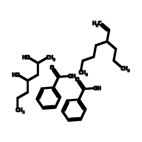 C=CC(CCC)CCCC.CCCC(O)CC(C)O.O=C(O)c1ccccc1.O=C(O)c1ccccc1